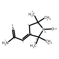 CC1(C)CC(=CC(N)=S)C(C)(C)N1[O]